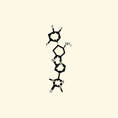 Cn1nc(-c2ccn3c4c(nc3c2)C[C@H](c2cc(F)c(F)cc2F)[C@@H](N)C4)n(C)c1=O